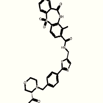 Cc1c(C(=O)NCc2cnc(-c3ccc(CN4CCOC[C@H]4C(=O)O)cc3)s2)ccc2c1NC(=O)c1ccccc1S2(=O)=O